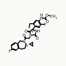 COC(=O)Nc1cc2c(cc1F)[C@@]1(CC2)NC(=O)N(CC(=O)N2Cc3ccc(F)cc3CC[C@H]2C2CC2)C1=O